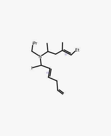 C=CC/C=C/C(I)N(CC(C)C)C(C)C/C(C)=C/CC